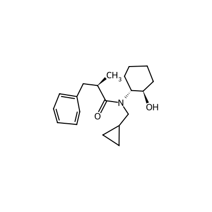 C[C@H](Cc1ccccc1)C(=O)N(CC1CC1)[C@@H]1CCCC[C@H]1O